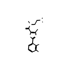 CCN(CC)CCN(C)C(=O)c1sc(-c2cccc(Cl)c2Cl)nc1C